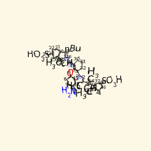 C=C(/C=C/C1=C(Oc2ccc(N)cc2)C(=C/C=C2/C(CCCC)c3ccc(S(=O)(=O)O)cc3C2(C)C)/CCC1)C(C)(C)c1cc(S(=O)(=O)O)ccc1C